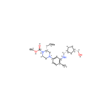 COC[C@@H]1CN(c2ccc([N+](=O)[O-])c(NC[C@@H]3CC[C@H](CO)C3)c2)CCN1C(=O)OC(C)(C)C